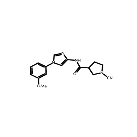 COc1cccc(-n2cnc(NC(=O)C3CCN(C#N)C3)c2)c1